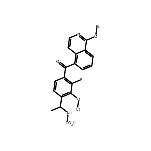 CCOc1c(C(C)NC(=O)O)ccc(C(=O)c2cccc3c(OCC)nccc23)c1F